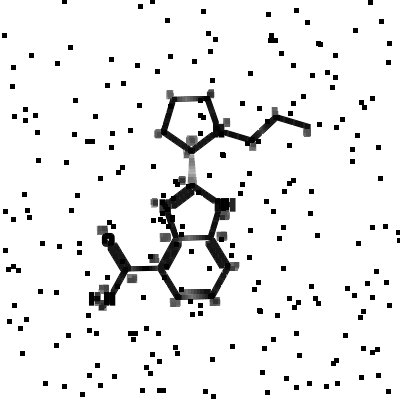 CCCN1CCC[C@H]1c1nc2c(C(N)=O)cccc2[nH]1